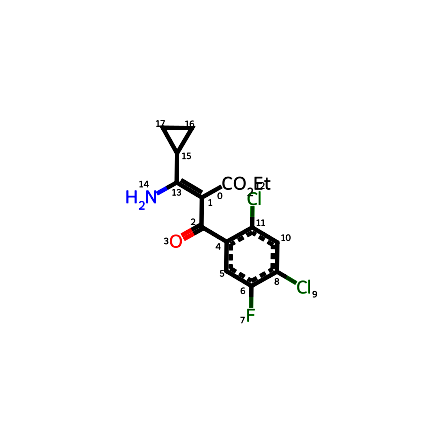 CCOC(=O)C(C(=O)c1cc(F)c(Cl)cc1Cl)=C(N)C1CC1